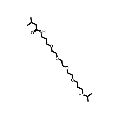 CC(C)CC(=O)NCCCOCCOCCOCCOCCCNC(C)C